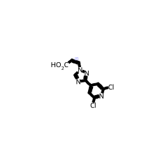 O=C(O)/C=C\n1cnc(-c2cc(Cl)nc(Cl)c2)n1